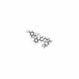 C[C@]1(c2ccc(Cl)cc2F)Oc2cccc(C3CCN(Cc4nc(F)c(C=O)n4C[C@@H]4CCO4)CC3)c2O1